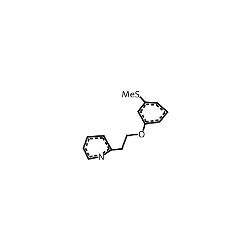 CSc1cccc(OCCc2ccccn2)c1